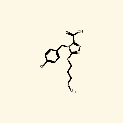 COCCCSc1nnc(C(=O)O)n1Cc1ccc(Cl)cc1